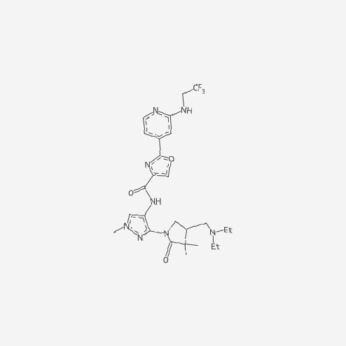 CCN(CC)CC1CN(c2nn(C)cc2NC(=O)c2coc(-c3ccnc(NCC(F)(F)F)c3)n2)C(=O)C1(C)C